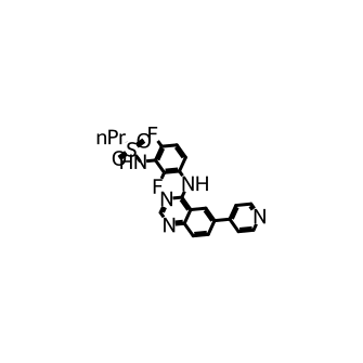 CCCS(=O)(=O)Nc1c(F)ccc(Nc2ncnc3ccc(-c4ccncc4)cc23)c1F